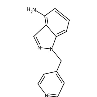 Nc1cccc2c1cnn2Cc1ccncc1